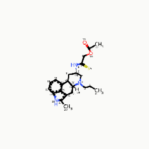 CCCN1C[C@@H](NC(=S)COC(C)=O)CC2c3cccc4[nH]c(C)c(c34)C[C@H]21